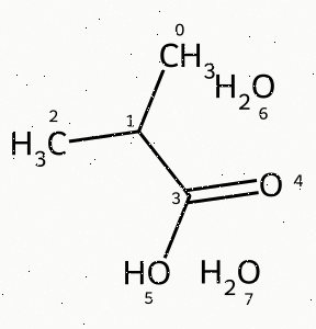 CC(C)C(=O)O.O.O